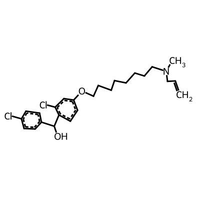 C=CCN(C)CCCCCCCCOc1ccc(C(O)c2ccc(Cl)cc2)c(Cl)c1